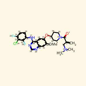 C=C(CN(C)C)C(=O)N1CCC(Oc2cc3c(Nc4ccc(F)c(Cl)c4F)ncnc3cc2OC)CC1